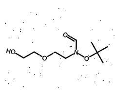 CC(C)(C)ON(C=O)CCOCCO